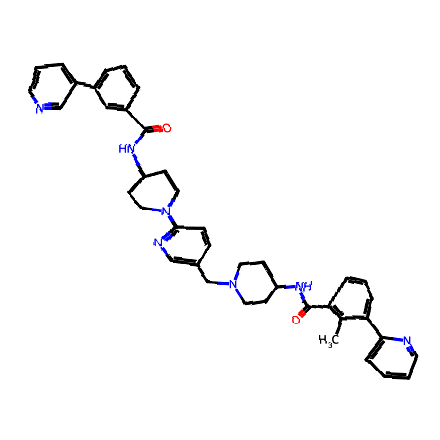 Cc1c(C(=O)NC2CCN(Cc3ccc(N4CCC(NC(=O)c5cccc(-c6cccnc6)c5)CC4)nc3)CC2)cccc1-c1ccccn1